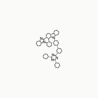 c1ccc(-c2nc(-c3ccccc3)nc(-c3cccc(-c4ccc(-n5c6ccccc6c6ccc7c(c8ccccc8n8c9ccccc9nc78)c65)cc4)c3)n2)cc1